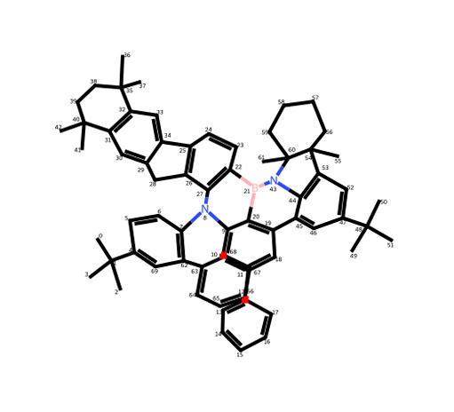 CC(C)(C)c1ccc(N2c3cc(-c4ccccc4)cc4c3B(c3ccc5c(c32)Cc2cc3c(cc2-5)C(C)(C)CCC3(C)C)N2c3c-4cc(C(C)(C)C)cc3C3(C)CCCCC23C)c(-c2ccccc2)c1